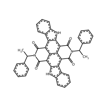 CC(c1ccccc1)N1C(=O)c2c3[nH]c4ccccc4c3c3c4c(c5[nH]c6ccccc6c5c(c24)C1=O)C(=O)N(C(C)c1ccccc1)C3=O